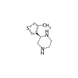 Cc1cscc1[C@@H]1CNCCN1